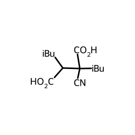 CCC(C)C(C(=O)O)C(C#N)(C(=O)O)C(C)CC